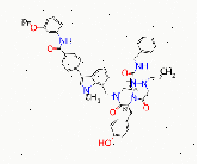 C=CCN1CC(=O)N2[C@@H](Cc3ccc(O)cc3)C(=O)N(Cc3cccc4c(-c5ccc(C(=O)Nc6cccc(OC(C)C)c6)cc5)cn(C)c34)C[C@@H]2N1C(=O)NCc1ccccc1